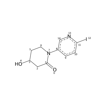 O=C1CC(O)CCN1c1ccc(I)nc1